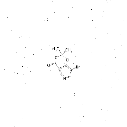 CC1(C)OC(=O)c2cncc(Br)c2O1